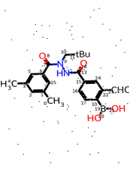 Cc1cc(C)cc(C(=O)N(CC(C)(C)C)NC(=O)c2ccc(B(O)O)c(C=O)c2)c1